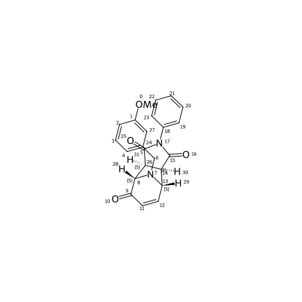 COc1cccc(CN2[C@@H]3C(=O)C=C[C@H]2[C@@H]2C(=O)N(c4ccccc4)C(=O)[C@@H]23)c1